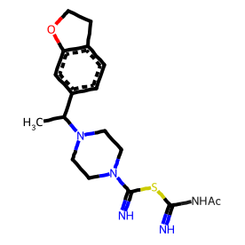 CC(=O)NC(=N)SC(=N)N1CCN(C(C)c2ccc3c(c2)OCC3)CC1